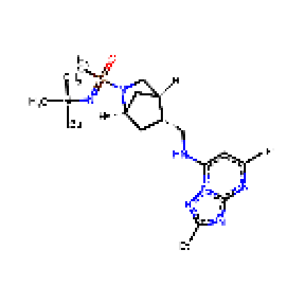 CCc1nc2nc(C(C)C)cc(NC[C@@H]3C[C@@H]4C[C@H]3CN4S(C)(=O)=N[Si](C)(C)C(C)(C)C)n2n1